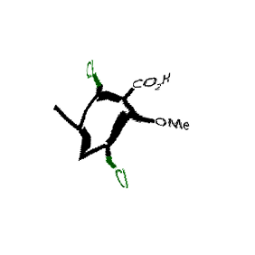 COc1c(Cl)cc(C)c(Cl)c1C(=O)O